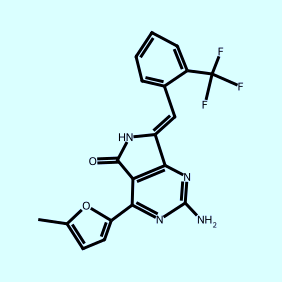 Cc1ccc(-c2nc(N)nc3c2C(=O)NC3=Cc2ccccc2C(F)(F)F)o1